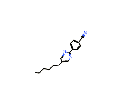 CCCCCCc1cnc(-c2ccc(C#N)cc2)nc1